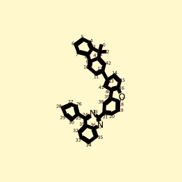 CC1(C)c2ccccc2-c2ccc(-c3ccc4oc5ccc(-c6nc(-c7ccccc7)c7ccccc7n6)cc5c4c3)cc21